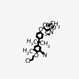 Cc1cc(C(C)(C)c2ccc(OC(C)c3scnc3S(C)(=O)=O)cc2)cc(C#N)c1OCCCl